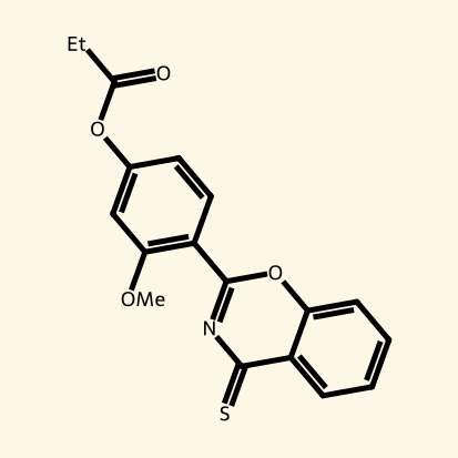 CCC(=O)Oc1ccc(-c2nc(=S)c3ccccc3o2)c(OC)c1